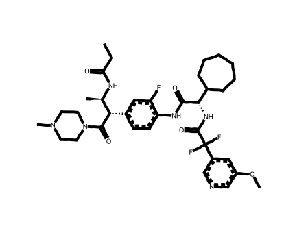 CCC(=O)N[C@H](C)[C@@H](C(=O)N1CCN(C)CC1)c1ccc(NC(=O)[C@@H](NC(=O)C(F)(F)c2cncc(OC)c2)C2CCCCCC2)c(F)c1